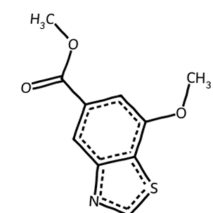 COC(=O)c1cc(OC)c2scnc2c1